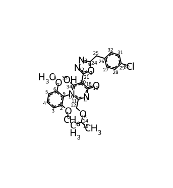 COc1cccc(OC)c1-n1c(COC(C)C)nc(=O)c(-c2nnc(Cc3ccc(Cl)cc3)o2)c1O